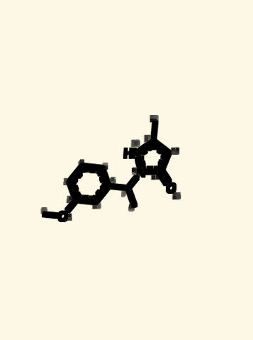 COc1cccc(C(C)n2[nH]c(C)cc2=O)c1